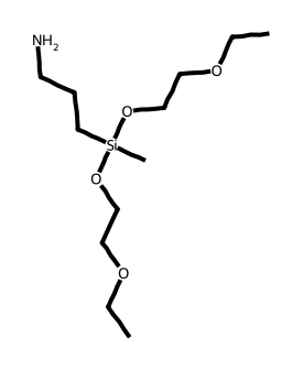 CCOCCO[Si](C)(CCCN)OCCOCC